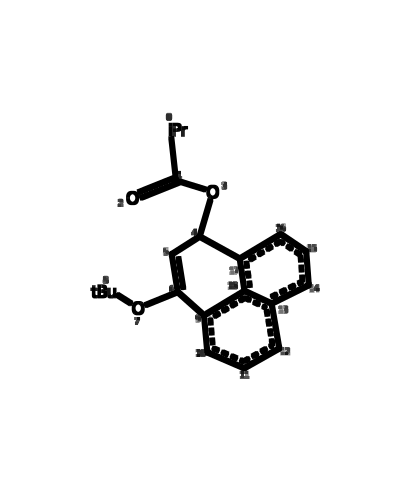 CC(C)C(=O)OC1C=C(OC(C)(C)C)c2cccc3cccc1c23